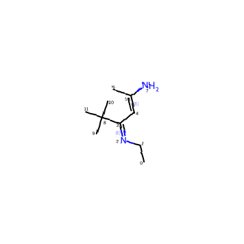 CC/N=C(\C=C(/C)N)C(C)(C)C